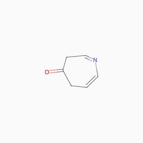 O=C1CC=CN=CC1